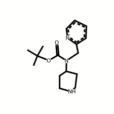 CC(C)(C)OC(=O)N(Cc1ccccn1)C1CCNCC1